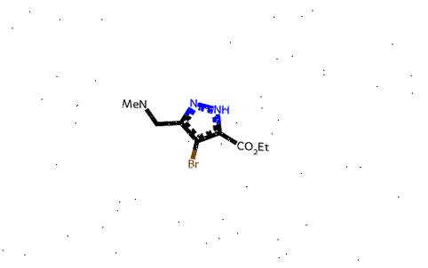 CCOC(=O)c1[nH]nc(CNC)c1Br